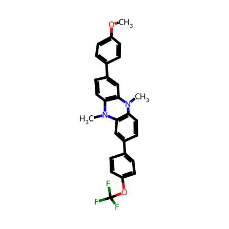 COc1ccc(-c2ccc3c(c2)N(C)c2ccc(-c4ccc(OC(F)(F)F)cc4)cc2N3C)cc1